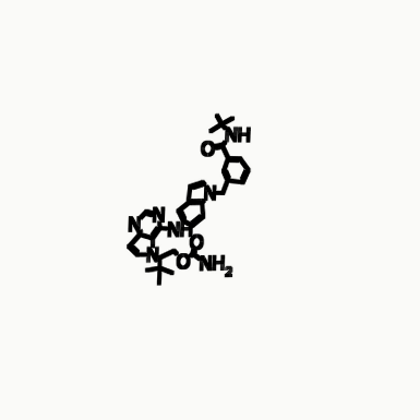 CC(C)(C)NC(=O)c1cccc(Cn2ccc3cc(Nc4ncnc5ccn(C(COC(N)=O)C(C)(C)C)c45)ccc32)c1